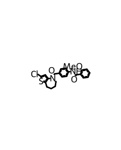 COc1ccccc1C(=O)Nc1ccc(C(=O)N2CCCCc3sc(Cl)cc32)cc1